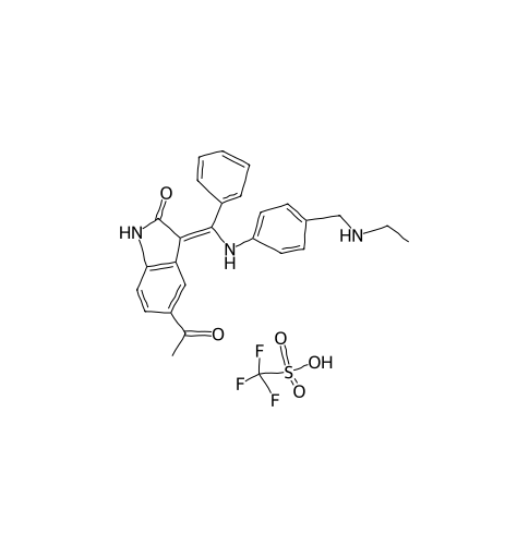 CCNCc1ccc(NC(=C2C(=O)Nc3ccc(C(C)=O)cc32)c2ccccc2)cc1.O=S(=O)(O)C(F)(F)F